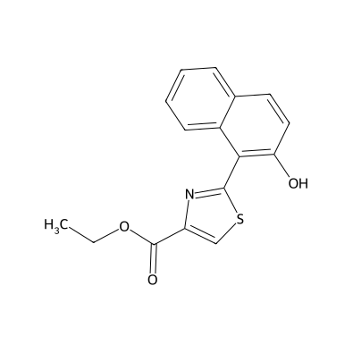 CCOC(=O)c1csc(-c2c(O)ccc3ccccc23)n1